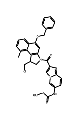 Cc1cccc2c(OCc3ccccc3)cc3c(c12)C(CCl)CN3C(=O)c1cn2cc(NC(=O)OC(C)(C)C)ccc2n1